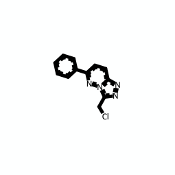 ClCc1nnc2ccc(-c3ccccc3)nn12